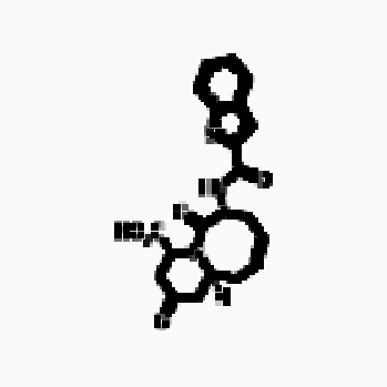 O=C1C[C@@H]2CC=CC[C@H](NC(=O)c3cc4ccccc4s3)C(=O)N2[C@H](C(=O)O)C1